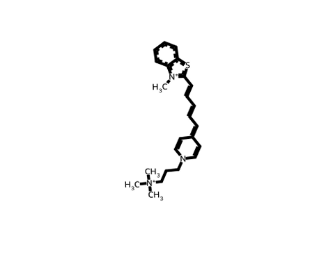 C[n+]1c(/C=C/C=C/C=C2C=CN(CCC[N+](C)(C)C)C=C2)sc2ccccc21